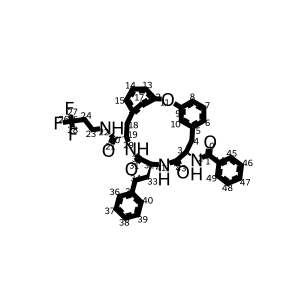 O=C(N[C@H]1Cc2cccc(c2)Oc2cccc(c2)C[C@@H](C(=O)NCCC(F)(F)F)NC(=O)[C@H](CCc2ccccc2)NC1=O)c1ccccc1